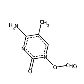 Cc1cn(OC=O)c(=O)nc1N